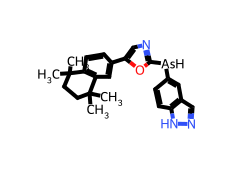 CC1(C)CCC(C)(C)c2cc(-c3cnc([AsH]c4ccc5[nH]ncc5c4)o3)ccc21